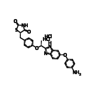 CC(Oc1ccc(CC2SC(=O)NC2=O)cc1)c1nc2ccc(Oc3ccc(N)cc3)cc2[nH]1.Cl.Cl